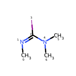 C/N=C(/I)N(C)C